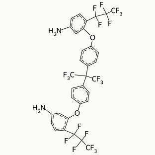 Nc1ccc(C(F)(F)C(F)(F)C(F)(F)F)c(Oc2ccc(C(c3ccc(Oc4cc(N)ccc4C(F)(F)C(F)(F)C(F)(F)F)cc3)(C(F)(F)F)C(F)(F)F)cc2)c1